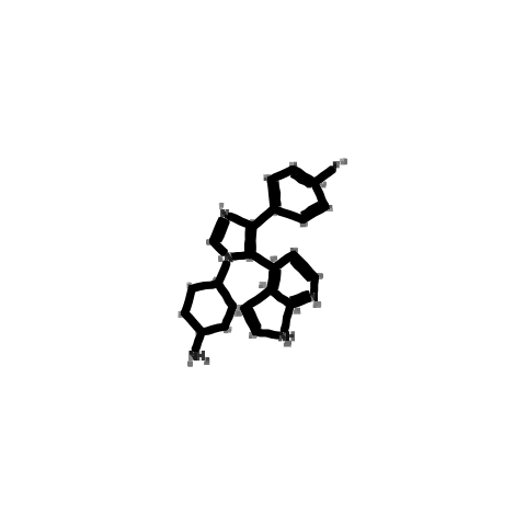 NC1CCC(n2cnc(-c3ccc(F)cc3)c2-c2ccnc3[nH]ccc23)CC1